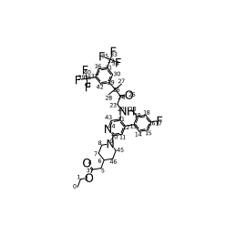 CCOC(=O)CC1CCN(c2cc(-c3ccc(F)cc3C)c(NCC(=O)C(C)(C)c3cc(C(F)(F)F)cc(C(F)(F)F)c3)cn2)CC1